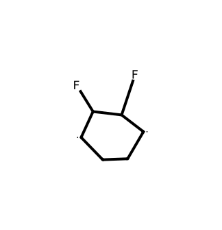 FC1[CH]CC[CH]C1F